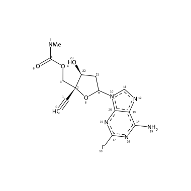 C#C[C@]1(COC(=O)NC)OC(n2cnc3c(N)nc(F)nc32)C[C@@H]1O